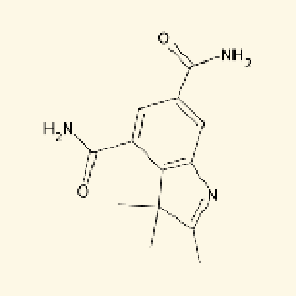 CC1=Nc2cc(C(N)=O)cc(C(N)=O)c2C1(C)C